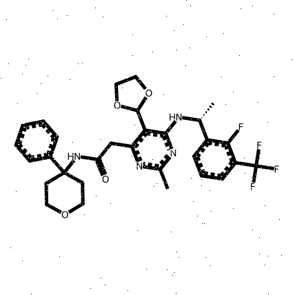 Cc1nc(CC(=O)NC2(c3ccccc3)CCOCC2)c(C2OCCO2)c(N[C@H](C)c2cccc(C(F)(F)F)c2F)n1